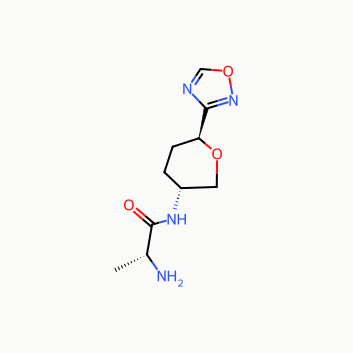 C[C@@H](N)C(=O)N[C@@H]1CC[C@@H](c2ncon2)OC1